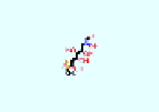 C[PH](=O)C(O)C[C@@H](O)[C@@H](O)[C@@H](O)CN(O)C=O